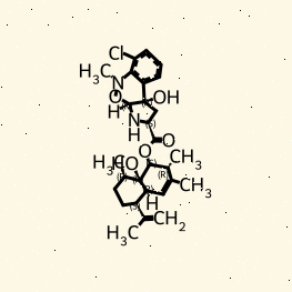 C=C(C)[C@H]1CC[C@@H](C)[C@@]2(O)[C@H]1C=C(C)[C@@H](C)[C@@H]2OC(=O)[C@@H]1C[C@@]2(O)c3cccc(Cl)c3N(C)O[C@H]2N1